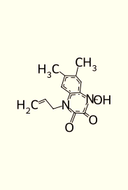 C=CCn1c(=O)c(=O)n(O)c2cc(C)c(C)cc21